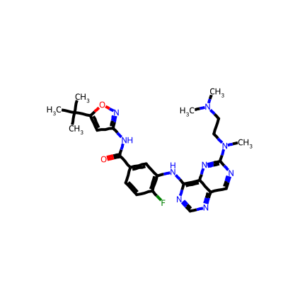 CN(C)CCN(C)c1ncc2ncnc(Nc3cc(C(=O)Nc4cc(C(C)(C)C)on4)ccc3F)c2n1